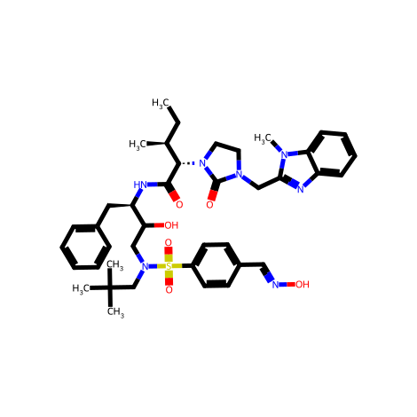 CC[C@H](C)[C@@H](C(=O)N[C@H](Cc1ccccc1)C(O)CN(CC(C)(C)C)S(=O)(=O)c1ccc(C=NO)cc1)N1CCN(Cc2nc3ccccc3n2C)C1=O